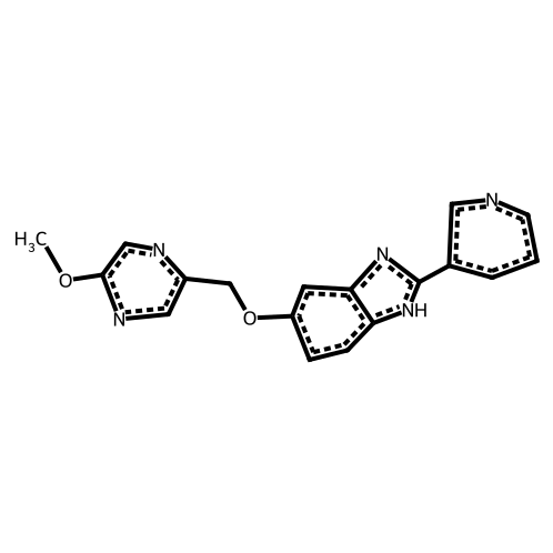 COc1cnc(COc2ccc3[nH]c(-c4cccnc4)nc3c2)cn1